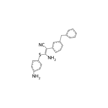 N#C/C(=C(/N)Sc1ccc(N)cc1)c1cccc(Cc2ccccc2)c1